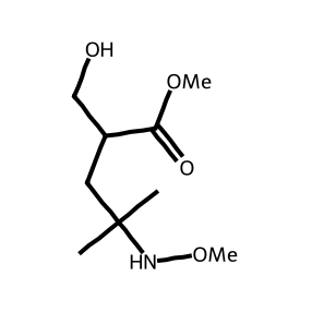 CONC(C)(C)CC(CO)C(=O)OC